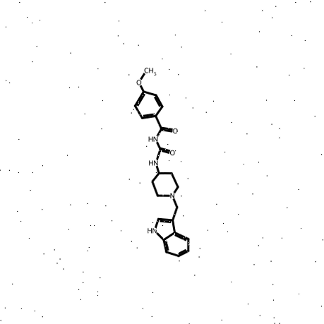 COc1ccc(C(=O)NC(=O)NC2CCN(Cc3c[nH]c4ccccc34)CC2)cc1